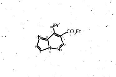 CCOC(=O)c1cnn2ccnc2c1C(C)C